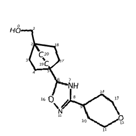 OCC12CCC(C3NC(C4CCOCC4)=NO3)(CC1)CC2